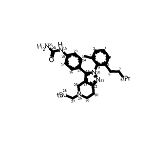 Cc1cccc(CCC(C)C)c1-n1nc2c(c1-c1ccc(NC(N)=O)cc1)CN(CC(C)(C)C)CC2